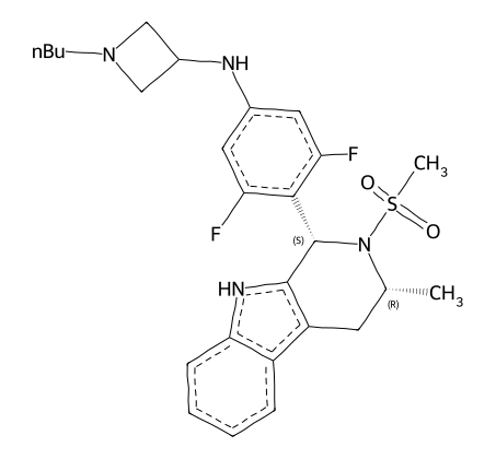 CCCCN1CC(Nc2cc(F)c([C@H]3c4[nH]c5ccccc5c4C[C@@H](C)N3S(C)(=O)=O)c(F)c2)C1